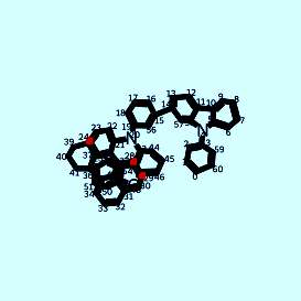 c1ccc(-n2c3ccccc3c3ccc(-c4cccc(N(c5ccccc5-c5cccc6cccc(C7CCCCC7)c56)c5cccc6oc7ccccc7c56)c4)cc32)cc1